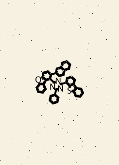 c1ccc(-c2nc(-c3cccc4c3sc3ccccc34)nc(-c3c(-c4ccc5ccccc5c4)ccc4oc5ccccc5c34)n2)cc1